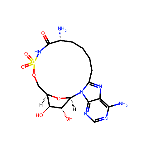 Nc1ncnc2c1nc1n2[C@@H]2O[C@H](COS(=O)(=O)NC(=O)[C@H](N)CCCC1)[C@@H](O)[C@H]2O